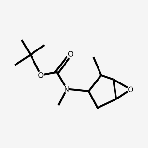 CC1C2OC2CC1N(C)C(=O)OC(C)(C)C